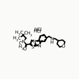 CN(CC(C)(C)C)C(=O)c1cn2c(nc3cc(CNCC4CCOCC4)ccc32)s1.Cl.Cl